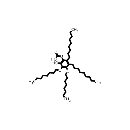 CCCCCCCCCc1c(CCCCCCCCC)c(OCCCCCCCC)c(OCCCCCCCC)c(O)c1OC(=O)O